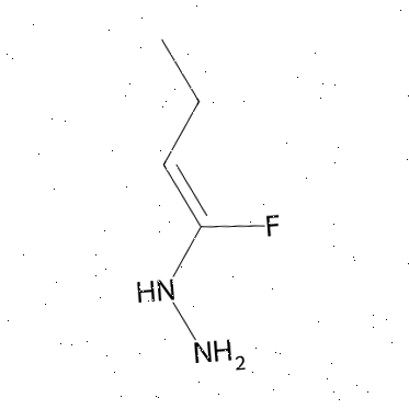 CCC=C(F)NN